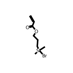 C=CC(=O)OCCC[Si](C)(C)Br